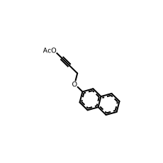 CC(=O)OC#CCOc1ccc2ccccc2c1